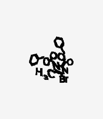 Cc1c(Br)nc(C(=O)OCc2ccccc2)n1C(=O)OCc1ccccc1